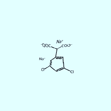 O=C([O-])C(C(=O)[O-])c1cc(Cl)cc(Cl)c1.[Na+].[Na+]